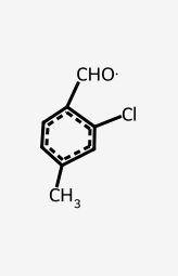 Cc1ccc([C]=O)c(Cl)c1